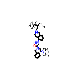 CN(C)CCN(Cc1ccccc1)C(=O)CNc1cccc2c1CCN(CCC(C)(C)C)C2